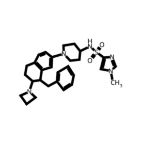 Cn1cnc(S(=O)(=O)NC2CCN(c3ccc4c(c3)C(Cc3ccccc3)C(N3CCC3)CC4)CC2)c1